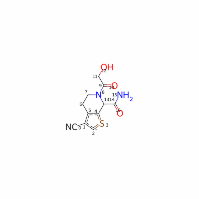 N#Cc1[c]sc2c1CCN(C(=O)CO)C2C(N)=O